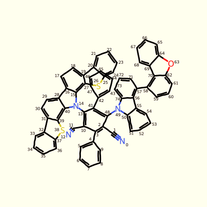 N#Cc1c(-c2ccccc2)c(C#N)c(-n2c3c(ccc4c5ccccc5sc43)c3ccc4c5ccccc5sc4c32)c(-c2ccccc2)c1-n1c2ccccc2c2c(-c3cccc4oc5ccccc5c34)cccc21